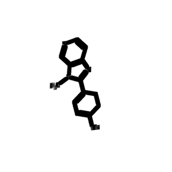 Cn1c(C2=CC=C(C(C)(C)C)CC2)nc2ccncc21